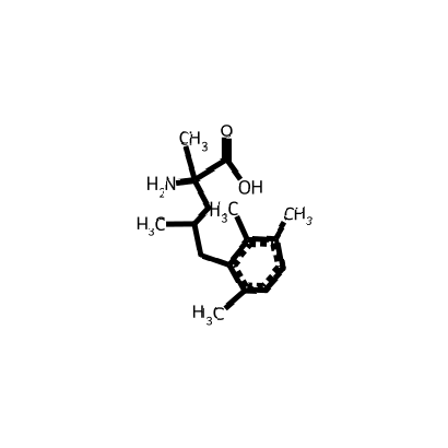 Cc1ccc(C)c(CC(C)CC(C)(N)C(=O)O)c1C